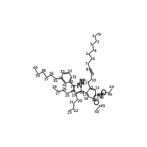 CCCCCCCCC#CCCc1ccccc1C1=C(CCCC)C(CCCC)=C(c2cccc(CCCCCC)c2)[N+]1=[N-].CC[O][Ni][O]CC